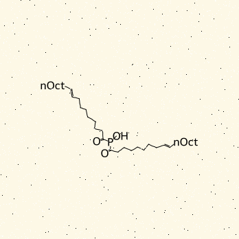 CCCCCCCCC=CCCCCCCCC(=O)P(O)C(=O)CCCCCCCC=CCCCCCCCC